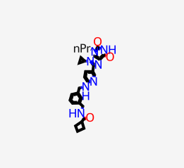 CCCn1c(=O)[nH]c(=O)c2nc(-c3ccc(NCc4cccc(CNC(=O)C5CCC5)c4)nc3)n(C3CC3)c21